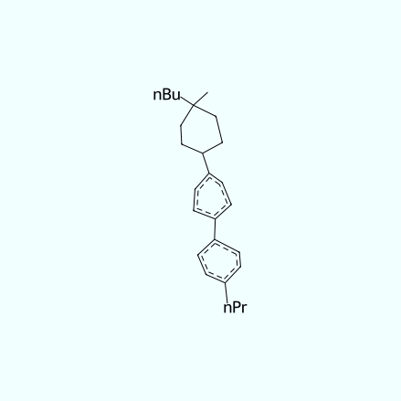 CCCCC1(C)CCC(c2ccc(-c3ccc(CCC)cc3)cc2)CC1